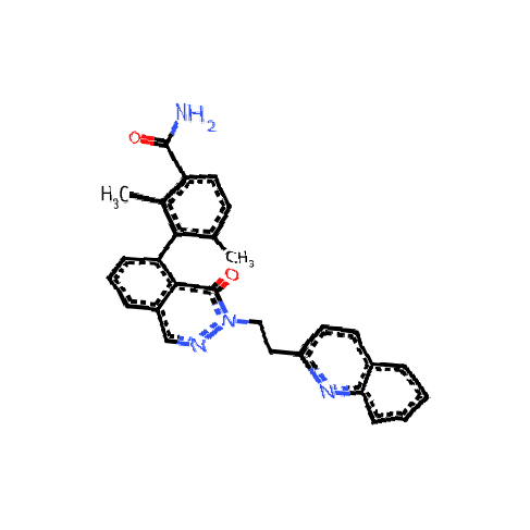 Cc1ccc(C(N)=O)c(C)c1-c1cccc2cnn(CCc3ccc4ccccc4n3)c(=O)c12